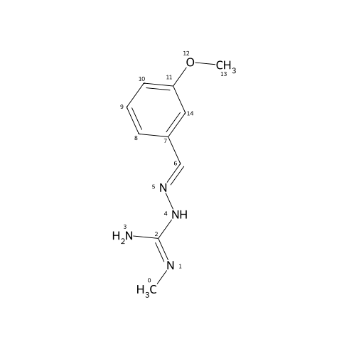 C/N=C(\N)N/N=C/c1cccc(OC)c1